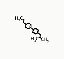 CCCC1CCN(c2ccc(CC(C)C)cc2)CC1